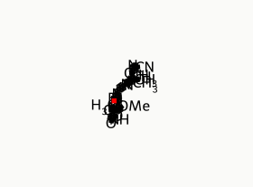 COc1ccc2c(c1N1CC3(CCN(CC4CCC(n5cc6cc(NC(=O)c7cncc(C#N)c7)c(C(C)(C)O)cc6n5)CC4)CC3(F)F)C1)n(C)c(=O)n2C1CCC(=O)NC1=O